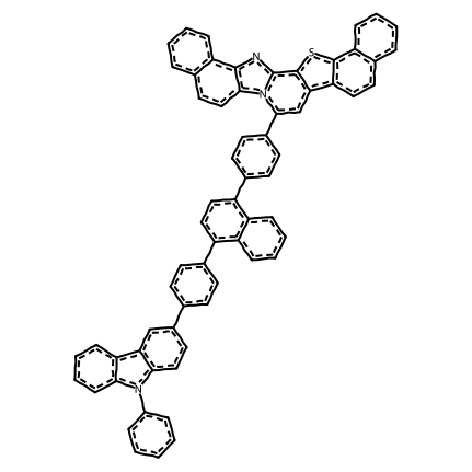 c1ccc(-n2c3ccccc3c3cc(-c4ccc(-c5ccc(-c6ccc(-c7cc8c9ccc%10ccccc%10c9sc8c8nc9c%10ccccc%10ccc9n78)cc6)c6ccccc56)cc4)ccc32)cc1